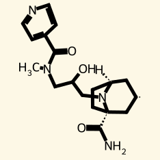 CN(CC(O)CN1[C@@H]2C[CH]C[C@@]1(C(N)=O)CC2)C(=O)c1ccncc1